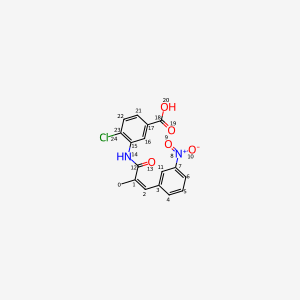 CC(=Cc1cccc([N+](=O)[O-])c1)C(=O)Nc1cc(C(=O)O)ccc1Cl